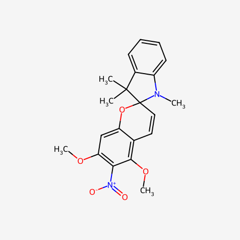 COc1cc2c(c(OC)c1[N+](=O)[O-])C=CC1(O2)N(C)c2ccccc2C1(C)C